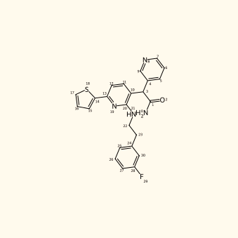 NC(=O)C(c1cccnc1)c1ccc(-c2cccs2)nc1NCCc1cccc(F)c1